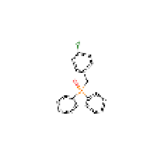 O=P(Cc1ccc(Cl)cc1)(c1ccccc1)c1ccccc1